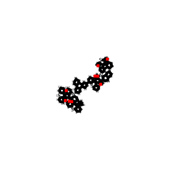 c1ccc2c(c1)Sc1ccccc1C21c2ccccc2-c2cc(N(c3ccc4c5ccc(-c6cccc7c6Sc6ccccc6C76c7ccccc7-c7c(N(c8ccc9c(c8)-c8ccccc8C98c9ccccc9Sc9ccccc98)c8cccc9ccccc89)cccc76)cc5c5ccccc5c4c3)c3cccc4c3-c3ccccc3C43c4ccccc4Sc4ccccc43)ccc21